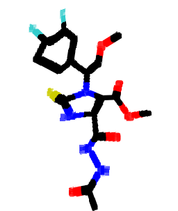 COCC(c1ccc(F)c(F)c1)n1c(C(=O)OC)c(C(=O)NNC(C)=O)[nH]c1=S